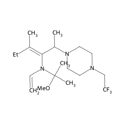 C=CN(/C(=C(/C)CC)C(C)N1CCN(CC(F)(F)F)CC1)C(C)(C)OC